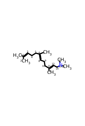 CC(C)=CCCC(C)=CCCC(C)=CCN(C)C